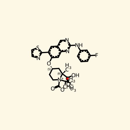 CC(C)(C)[N+]1(C(=O)[O-])CC[C@H](Oc2cc3nc(Nc4cccc(F)c4)ncc3cc2-c2nccs2)C[C@]1(C)C(=O)O